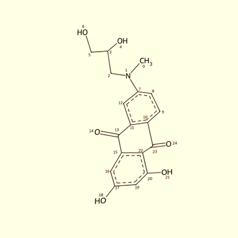 CN(CC(O)CO)c1ccc2c(c1)C(=O)c1cc(O)cc(O)c1C2=O